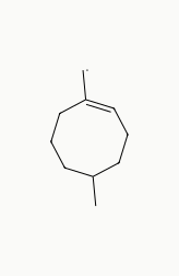 [CH2]C1=CCCC(C)CCC1